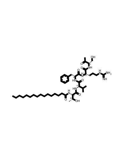 CCCCCCCCCCCCCCCC(=O)N[C@H](C(=O)N[C@H](C(=O)N[C@H](Cc1ccccc1)C(=O)N[C@@H](CCCNC(=N)N)C(=O)N[C@@H](CO)C(C)=O)C(C)C)[C@@H](C)O